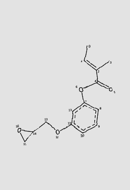 CC=C(C)C(=O)Oc1cccc(OCC2CO2)c1